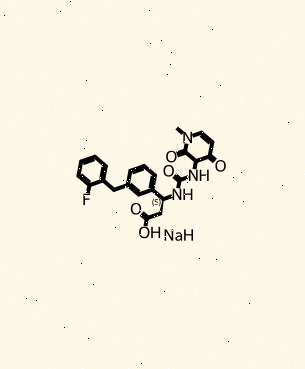 CN1C=CC(=O)C(NC(=O)N[C@@H](CC(=O)O)c2cccc(Cc3ccccc3F)c2)C1=O.[NaH]